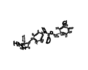 O=C(Nc1ccc(-c2cn[nH]c2)cc1)OCc1cccc(Cl)c1